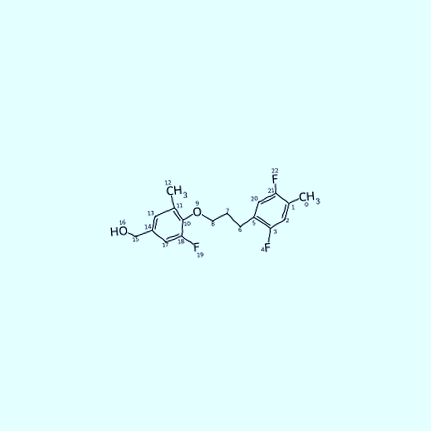 Cc1cc(F)c(CCCOc2c(C)cc(CO)cc2F)cc1F